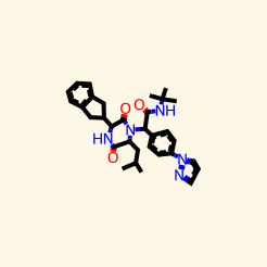 CC(C)CC1C(=O)NC(C2Cc3ccccc3C2)C(=O)N1C(C(=O)NC(C)(C)C)c1ccc(-n2cccn2)cc1